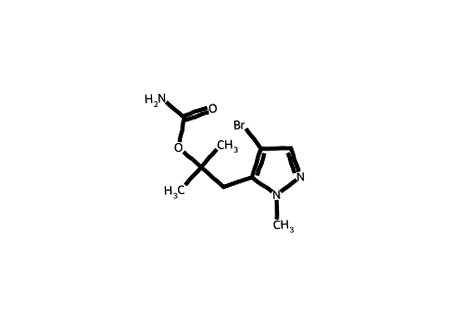 Cn1ncc(Br)c1CC(C)(C)OC(N)=O